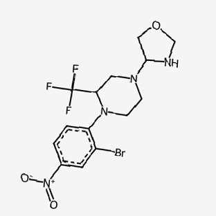 O=[N+]([O-])c1ccc(N2CCN(C3COCN3)CC2C(F)(F)F)c(Br)c1